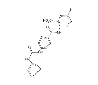 O=C(Nc1ccccc1)[AsH]c1ccc(C(=O)Nc2ccc(Br)cc2C(=O)O)cc1